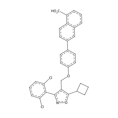 O=C(O)c1cccc2cc(-c3ccc(OCc4c(-c5c(Cl)cccc5Cl)noc4C4CCC4)cc3)ccc12